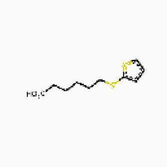 O=C(O)CCCCCSc1cccs1